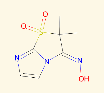 CC1(C)C(=NO)n2ccnc2S1(=O)=O